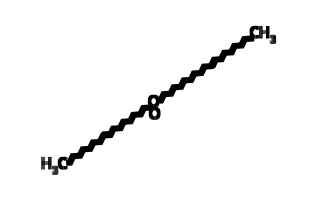 CCCCCCCCC=CCCCCCCCCCCOC(=O)CCCCCCCC=CCCCCCCCC